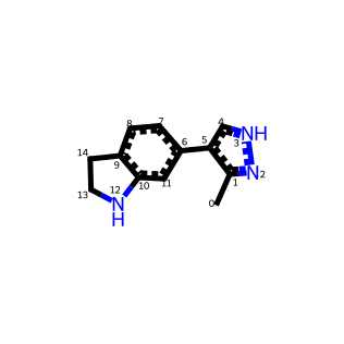 Cc1n[nH]cc1-c1ccc2c(c1)NCC2